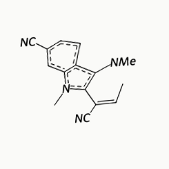 C/C=C(/C#N)c1c(NC)c2ccc(C#N)cc2n1C